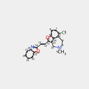 CN1CCc2c(Cl)ccc3oc(C=Cc4nc5ccccc5o4)c(c23)C1